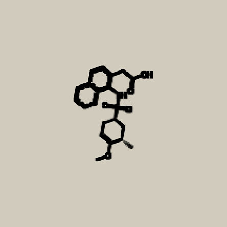 COC1=CC[C@@H](S(=O)(=O)Nc2c(CC(=O)O)ccc3ccccc23)C[C@@H]1C